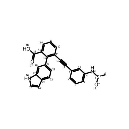 C[S+]([O-])Nc1cccc(C#Cc2cccc(C(=O)O)c2-c2ccc3cc[nH]c3c2)c1